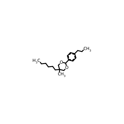 CCCCCCC1(C)COC(c2ccc(CCC)cc2)OC1